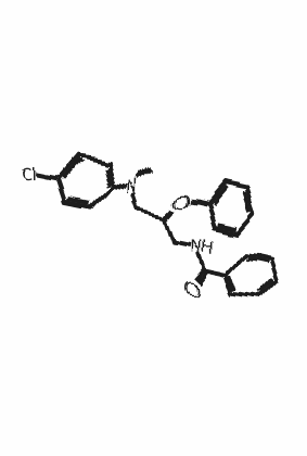 CN(CC(CNC(=O)c1ccccc1)Oc1ccccc1)c1ccc(Cl)cc1